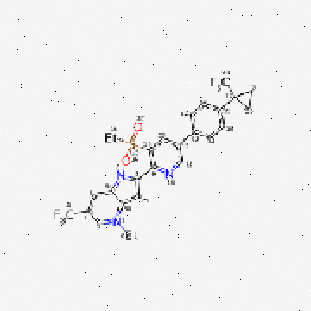 CCn1cc(C(F)(F)F)cc2nc(-c3ncc(-c4ccc(C5(C(F)(F)F)CC5)cc4)cc3S(=O)(=O)CC)cc1-2